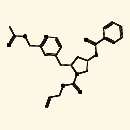 C=CCOC(=O)N1CC(SC(=O)c2ccccc2)CC1Cc1ccnc(COC(C)=O)c1